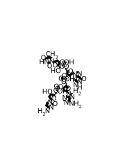 Cc1cn([C@H]2CC(OP(=O)(O)OC[C@H]3O[C@@H](n4cnc5c(=O)[nH]c(N)nc54)CC3OP(=O)(O)OC[C@H]3O[C@@H](n4cnc5c(N)ncnc54)CC3OP(=O)(O)OC[C@H]3O[C@@H](n4ccc(N)nc4=O)CC3O)[C@@H](CO)O2)c(=O)[nH]c1=O